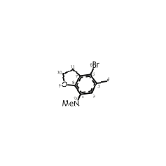 CNc1cc(C)c(Br)c2c1OCC2